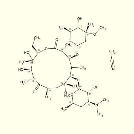 CC#N.CC[C@H]1OC(=O)[C@H](C)[C@@H](O[C@H]2C[C@@](C)(OC)[C@@H](O)[C@H](C)O2)C(C)[C@@H](O[C@@H]2O[C@H](C)C[C@H](N(C)C)[C@H]2O)[C@](C)(OC)C[C@@H](C)C(=O)[C@H](C)[C@@H](O)[C@]1(C)O